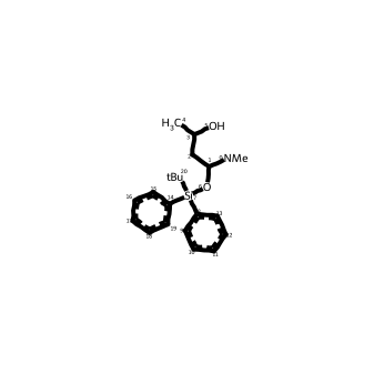 CNC(CC(C)O)O[Si](c1ccccc1)(c1ccccc1)C(C)(C)C